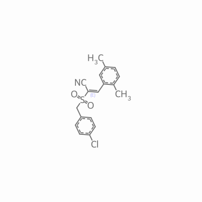 Cc1ccc(C)c(/C=C(\C#N)S(=O)(=O)Cc2ccc(Cl)cc2)c1